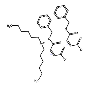 CCCCC[CH2][Sn+2][CH2]CCCCC.O=C([O-])/C=C\C(=O)OCc1ccccc1.O=C([O-])/C=C\C(=O)OCc1ccccc1